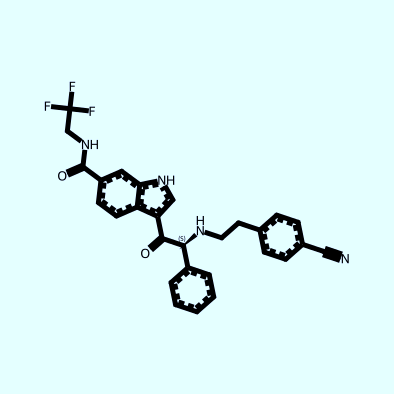 N#Cc1ccc(CCN[C@H](C(=O)c2c[nH]c3cc(C(=O)NCC(F)(F)F)ccc23)c2ccccc2)cc1